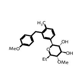 CC[C@H]1O[C@@H](c2ccc(C)c(Cc3ccc(OC)cc3)c2)[C@H](O)[C@@H](O)[C@@H]1OC